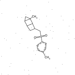 Cc1ccc(S(=O)(=O)CC2CC3C4CC4(C)C23)cc1